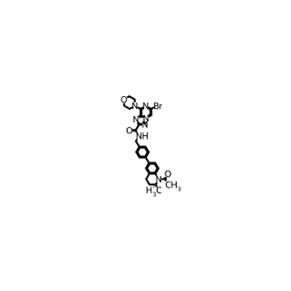 CC(=O)N1c2ccc(-c3ccc(CNC(=O)c4nc5c(N6CCOCC6)nc(Br)cn5n4)cc3)cc2CC[C@@H]1C